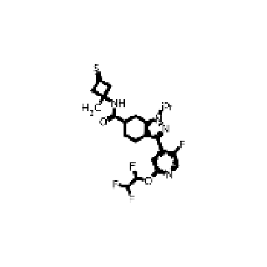 CC(C)n1nc(-c2cc(OC(F)C(F)F)ncc2F)c2c1CC(C(=O)NC1(C)CC(=S)C1)CC2